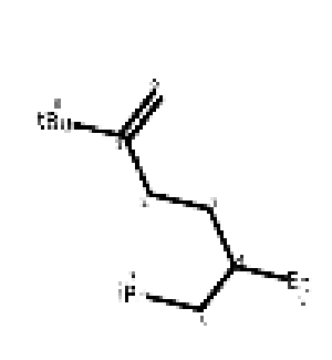 C=C(CCC(CC)CC(C)C)C(C)(C)C